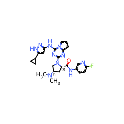 CN(C)[C@H]1C[C@@H](C(=O)Nc2ccc(F)nc2)N(c2nc(Nc3cc(C4CC4)[nH]n3)n3cccc3n2)C1